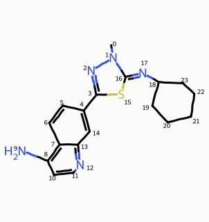 Cn1nc(-c2ccc3c(N)ccnc3c2)sc1=NC1CCCCC1